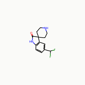 O=C1Nc2ccc(C(F)F)cc2C12CCNCC2